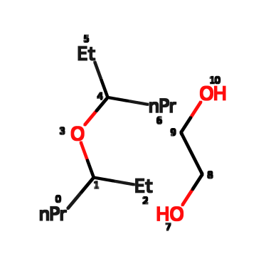 CCCC(CC)OC(CC)CCC.OCCO